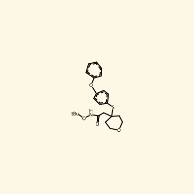 CC(C)(C)ONC(=O)CC1(Sc2ccc(Oc3ccccc3)cc2)CCOCC1